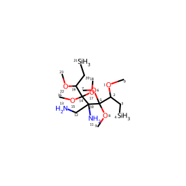 COC(C[SiH3])C(OC)(OC)C(N)(CN)C(OC)(OC)C(C[SiH3])OC